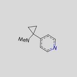 CNC1(c2ccncc2)CC1